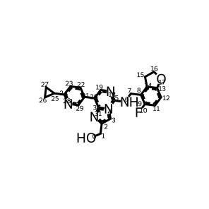 OCc1cn2c(NCc3c(F)ccc4c3CCO4)ncc(-c3ccc(C4CC4)nc3)c2n1